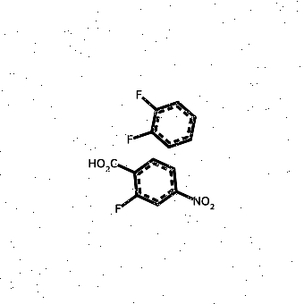 Fc1ccccc1F.O=C(O)c1ccc([N+](=O)[O-])cc1F